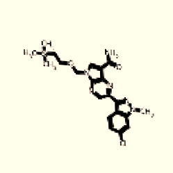 Cn1nc(-c2cnc3c(n2)c(C(N)=O)cn3COCC[Si](C)(C)C)c2ccc(Cl)cc21